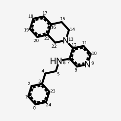 c1ccc(CCNc2cnccc2N2CCc3ccccc3C2)cc1